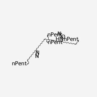 CCCCC/C=C\C/C=C\CCCCCCCCC(CCCCCCCC/C=C(\C/C=C\CCCCC)C(/C=C\CCCCC)/C=C\CCCCCCCCC(CCCCCCCC/C=C\C/C=C\CCCCC)CN(C)CCN(C)C)CNC(=O)CCN(C)C